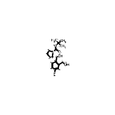 CC(C)(C)OC(=O)N1CCC[C@H]1C(O)c1ccc(F)cc1CO